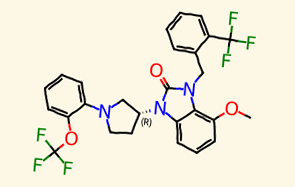 COc1cccc2c1n(Cc1ccccc1C(F)(F)F)c(=O)n2[C@@H]1CCN(c2ccccc2OC(F)(F)F)C1